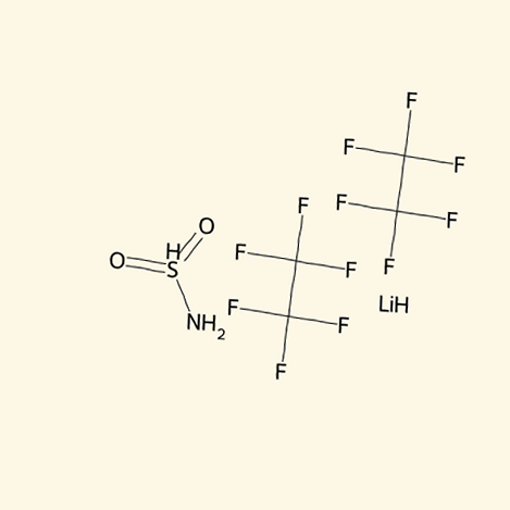 FC(F)(F)C(F)(F)F.FC(F)(F)C(F)(F)F.N[SH](=O)=O.[LiH]